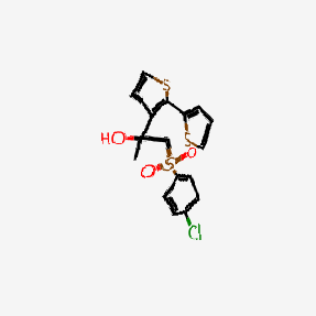 CC(O)(CS(=O)(=O)c1ccc(Cl)cc1)c1ccsc1-c1cccs1